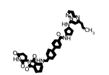 CCCc1cc(N[C@@H]2CC[C@@H](NC(=O)c3ccc(-c4ccc(CNc5cccc6c5C(=O)N(C5CCC(=O)NC5=O)C6=O)cc4)cc3)C2)n2nccc2n1